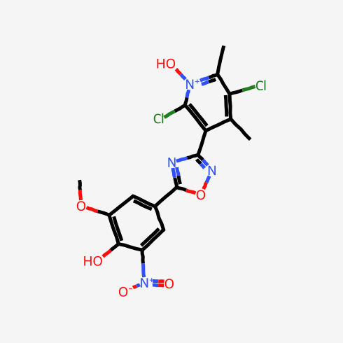 COc1cc(-c2nc(-c3c(C)c(Cl)c(C)[n+](O)c3Cl)no2)cc([N+](=O)[O-])c1O